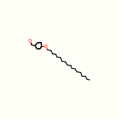 CCCCCCCCCCCCCCCCCCOc1ccc(C=O)cc1